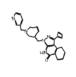 O=c1[nH]c2c(c(C3=CC=C3)nn2CC2CCCN(Cc3cccnc3)C2)c2c1CCCC2